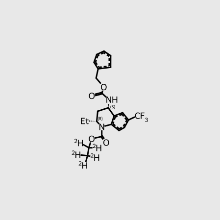 [2H]C([2H])([2H])C([2H])([2H])OC(=O)N1c2ccc(C(F)(F)F)cc2[C@@H](NC(=O)OCc2ccccc2)C[C@H]1CC